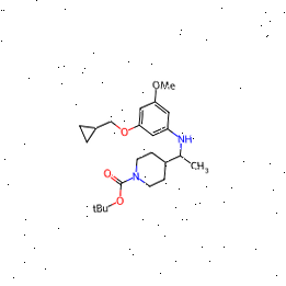 COc1cc(NC(C)C2CCN(C(=O)OC(C)(C)C)CC2)cc(OCC2CC2)c1